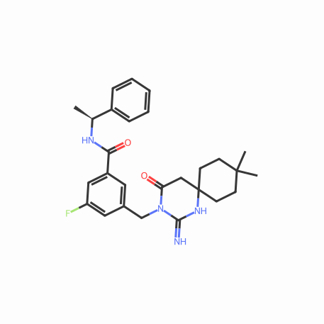 C[C@H](NC(=O)c1cc(F)cc(CN2C(=N)NC3(CCC(C)(C)CC3)CC2=O)c1)c1ccccc1